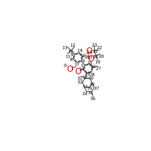 COCOc1c(-c2ccc(C(C)(C)C)cc2B2OC(C)(C)C(C)(C)O2)cc(C)cc1C1(C)CC2CC(C)CC(C2)C1